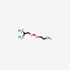 CCCOCOCC(C)C